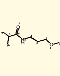 COCCCNC(=O)C(C)C